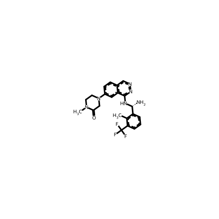 Cc1c([C@@H](N)Nc2nncc3ccc(N4CCN(C)C(=O)C4)cc23)cccc1C(F)(F)F